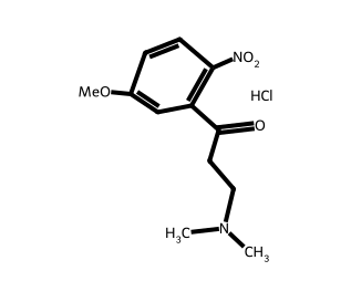 COc1ccc([N+](=O)[O-])c(C(=O)CCN(C)C)c1.Cl